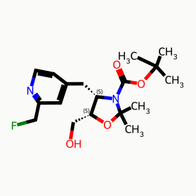 CC(C)(C)OC(=O)N1[C@@H](Cc2ccnc(CF)c2)[C@@H](CO)OC1(C)C